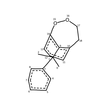 CC(C)(c1ccccc1)c1c2cccc1OOCC2